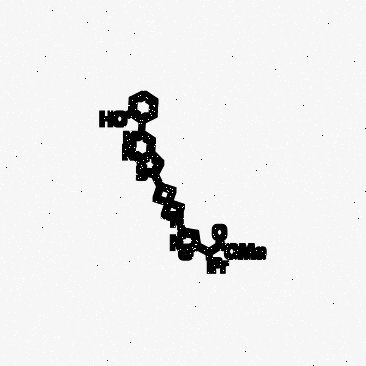 COC(=O)C(c1cc(N2CC3(CC(c4cc5cc(-c6ccccc6O)nnc5s4)C3)C2)no1)C(C)C